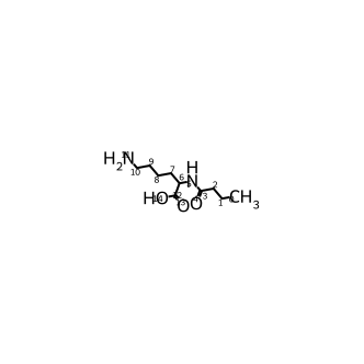 CCCC(=O)NC(CCCCN)C(=O)O